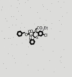 CCOC(=O)CN1C(=O)[C@@H](NC(=O)OCc2ccccc2)[C@@H](c2ccccc2)Sc2cc(Cl)ccc21